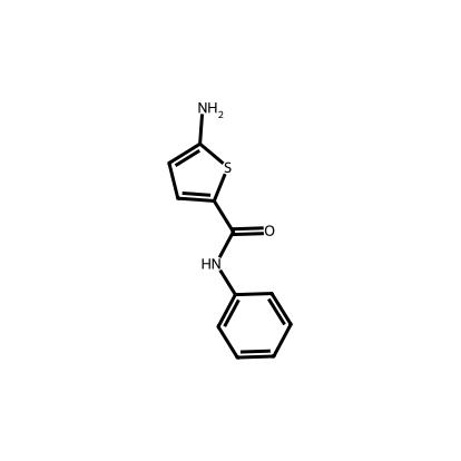 Nc1ccc(C(=O)Nc2ccccc2)s1